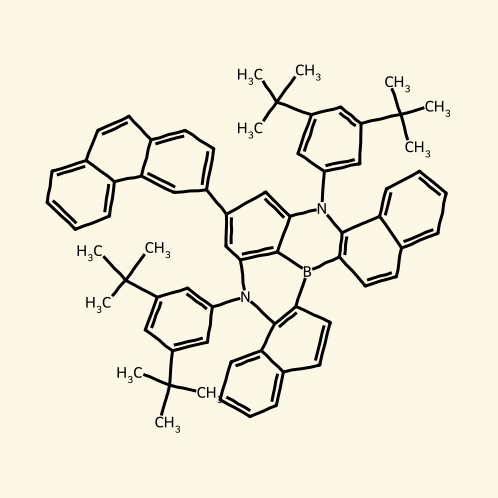 CC(C)(C)c1cc(N2c3cc(-c4ccc5ccc6ccccc6c5c4)cc4c3B(c3ccc5ccccc5c32)c2ccc3ccccc3c2N4c2cc(C(C)(C)C)cc(C(C)(C)C)c2)cc(C(C)(C)C)c1